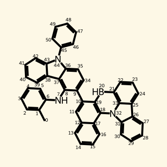 Cc1ccccc1Nc1c(-c2cc3ccccc3c3c2Bc2cccc4c5ccccc5n-3c24)ccc2c1c1ccccc1n2-c1ccccc1